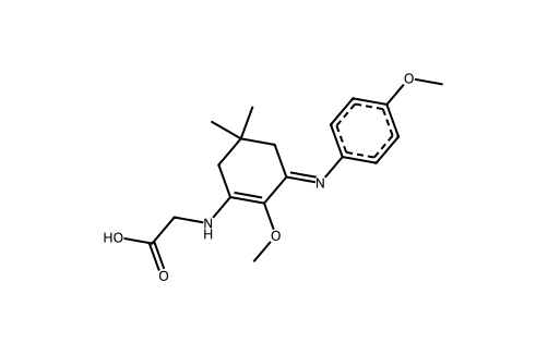 COC1=C(NCC(=O)O)CC(C)(C)C/C1=N\c1ccc(OC)cc1